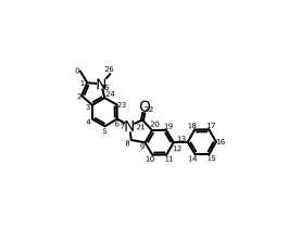 Cc1cc2ccc(N3Cc4ccc(-c5ccccc5)cc4C3=O)cc2n1C